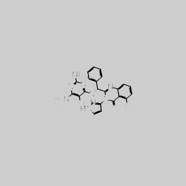 Nc1nc(N)c(Cl)c(N[C@@H](c2ccccc2)c2nc3cccc(Cl)c3c(=O)n2-c2cc[nH]n2)n1